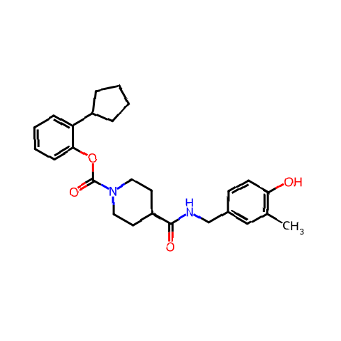 Cc1cc(CNC(=O)C2CCN(C(=O)Oc3ccccc3C3CCCC3)CC2)ccc1O